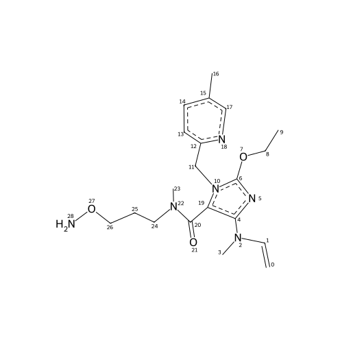 C=CN(C)c1nc(OCC)n(Cc2ccc(C)cn2)c1C(=O)N(C)CCCON